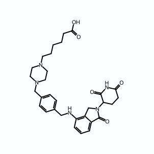 O=C(O)CCCCCN1CCN(Cc2ccc(CNc3cccc4c3CN(C3CCC(=O)NC3=O)C4=O)cc2)CC1